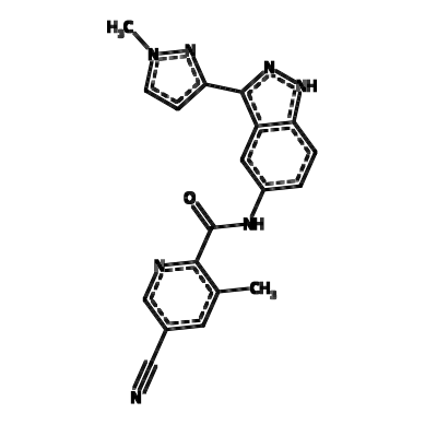 Cc1cc(C#N)cnc1C(=O)Nc1ccc2[nH]nc(-c3ccn(C)n3)c2c1